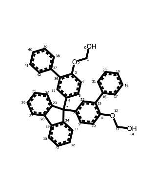 OCOc1ccc(C2(c3ccc(OCO)c(-c4ccccc4)c3)c3ccccc3-c3ccccc32)cc1-c1ccccc1